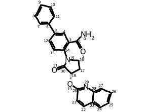 NC(=O)c1cc(-c2ccccc2)ccc1N1CC[C@H](Oc2ccc3ccccc3n2)C1=O